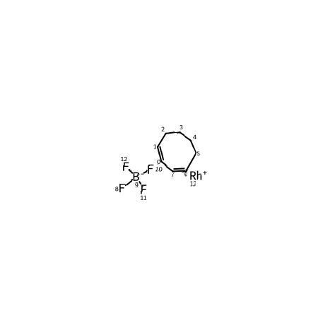 C1=CCCCCC=C1.F[B-](F)(F)F.[Rh+]